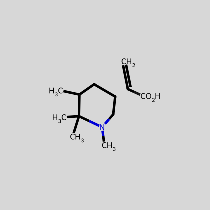 C=CC(=O)O.CC1CCCN(C)C1(C)C